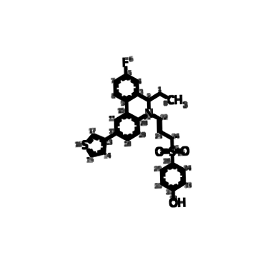 CCC1c2cc(F)ccc2-c2cc(-c3ccsc3)ccc2N1C=CCS(=O)(=O)c1ccc(O)cc1